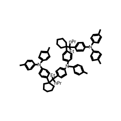 CCCC(CC)(c1ccc(N(c2ccc(C)cc2)c2ccc(C3(C(CC)(CCC)c4ccc(N(c5ccc(C)cc5)c5ccc(C)cc5)cc4)CCCCC3)cc2)cc1)C1(c2ccc(N(c3ccc(C)cc3)c3ccc(C)cc3)cc2)CCCCC1